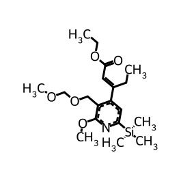 CCOC(=O)C=C(CC)c1cc([Si](C)(C)C)nc(OC)c1COCOC